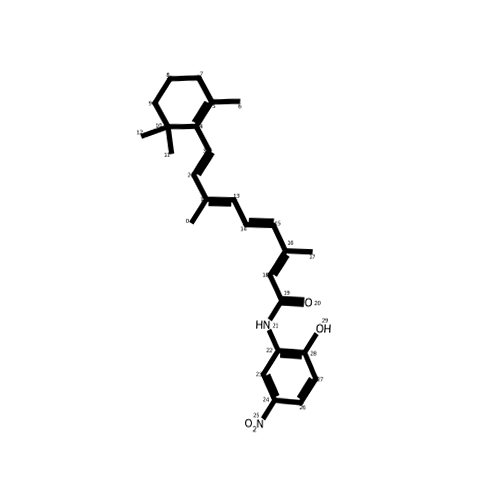 CC(C=CC1=C(C)CCCC1(C)C)=CC=CC(C)=CC(=O)Nc1cc([N+](=O)[O-])ccc1O